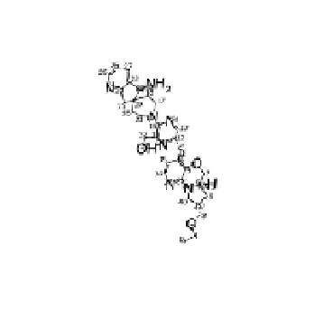 CCOC[C@H]1C[C@H]2COc3c(Sc4cnc(N5CCC6(CC5)Cc5ncccc5[C@H]6N)c(CO)n4)ccnc3N2C1